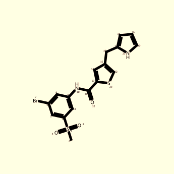 CS(=O)(=O)c1cc(Br)cc(NC(=O)c2cc(Cc3ccc[nH]3)cs2)c1